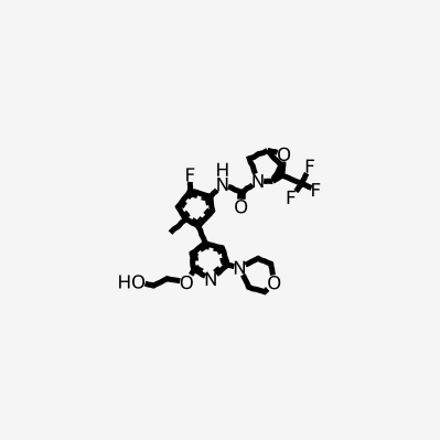 Cc1cc(F)c(NC(=O)N2CC3CC2C(C(F)(F)F)O3)cc1-c1cc(OCCO)nc(N2CCOCC2)c1